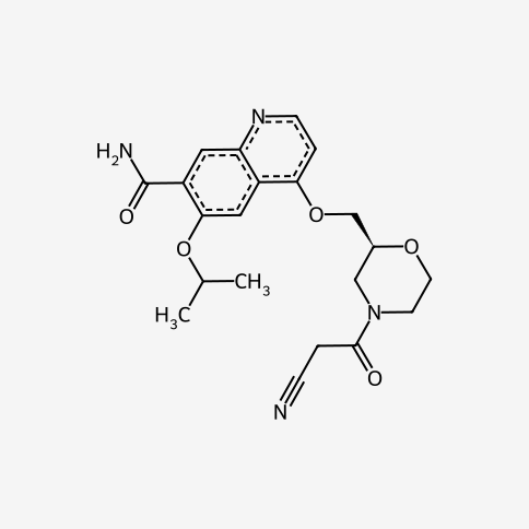 CC(C)Oc1cc2c(OC[C@@H]3CN(C(=O)CC#N)CCO3)ccnc2cc1C(N)=O